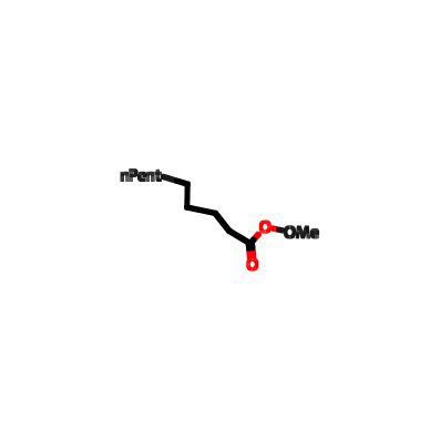 CCCCCCCCCC(=O)OOC